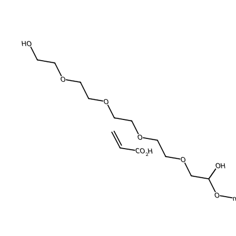 C=CC(=O)O.CCCOC(O)COCCOCCOCCOCCO